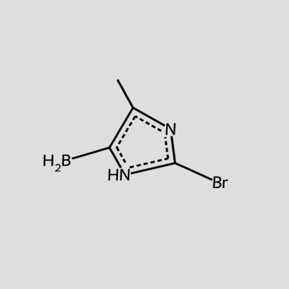 Bc1[nH]c(Br)nc1C